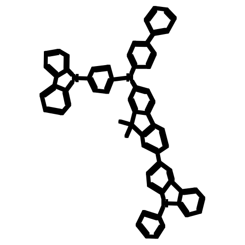 CC1(C)c2cc(-c3ccc4c(c3)c3ccccc3n4-c3ccccc3)ccc2-c2ccc(N(c3ccc(-c4ccccc4)cc3)c3ccc(-n4c5ccccc5c5ccccc54)cc3)cc21